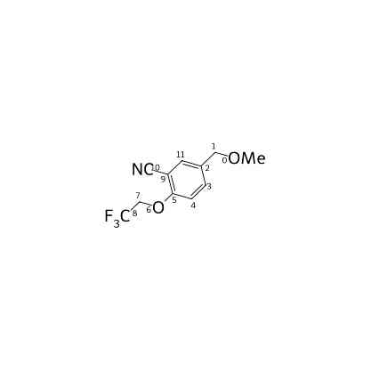 COCc1ccc(OCC(F)(F)F)c(C#N)c1